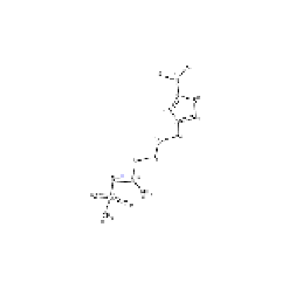 CN(C)c1nc(CSCC/C(N)=N/S(=O)(=O)C(F)(F)F)cs1